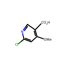 COc1cc(Cl)ncc1C(=O)O